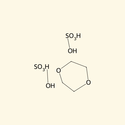 C1COCCO1.O=S(=O)(O)O.O=S(=O)(O)O